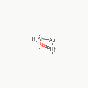 [AlH2][Au].[O]=[Hf]